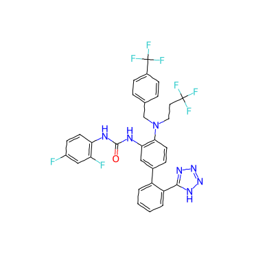 O=C(Nc1ccc(F)cc1F)Nc1cc(-c2ccccc2-c2nnn[nH]2)ccc1N(CCC(F)(F)F)Cc1ccc(C(F)(F)F)cc1